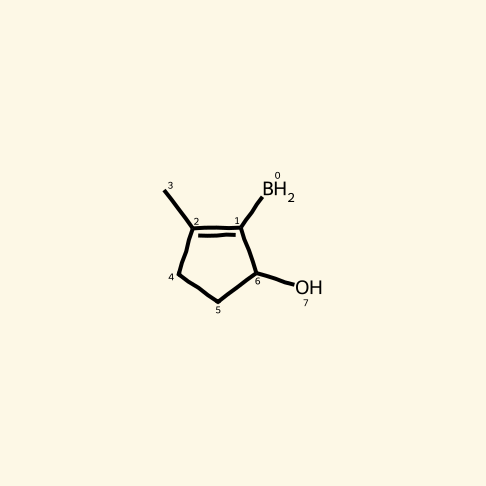 BC1=C(C)CCC1O